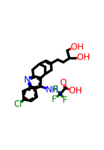 Nc1c2c(nc3cc(Cl)ccc13)CC1C=C(CCC(CO)CO)CC2C1.O=C(O)C(F)(F)F